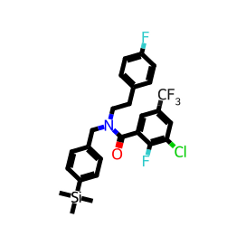 C[Si](C)(C)c1ccc(CN(CCc2ccc(F)cc2)C(=O)c2cc(C(F)(F)F)cc(Cl)c2F)cc1